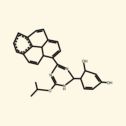 CC(C)OC1=NC(C2=CC=C3C=Cc4cccc5c4C3C2C=C5)=NC(C2C=CC(O)=CC2O)N1